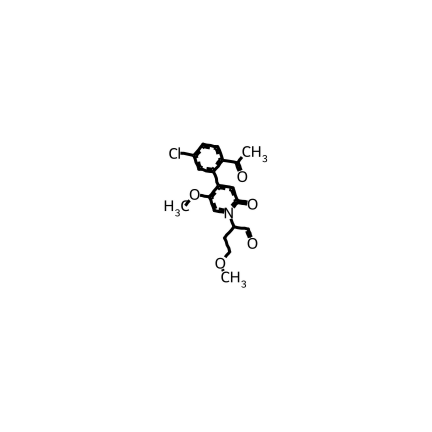 COCCC(C=O)n1cc(OC)c(-c2cc(Cl)ccc2C(C)=O)cc1=O